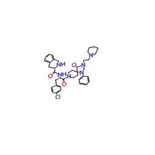 O=C(N[C@H](Cc1ccc(Cl)cc1)C(=O)N1CCC2(CC1)C(=O)N(CCN1CCCCC1)CN2c1ccccc1)[C@H]1Cc2ccccc2CN1